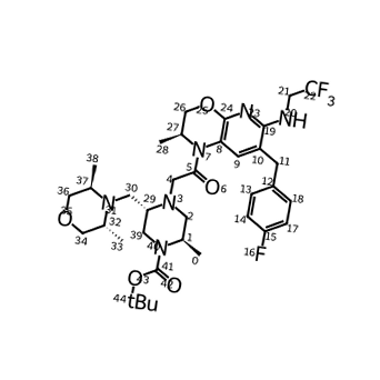 C[C@@H]1CN(CC(=O)N2c3cc(Cc4ccc(F)cc4)c(NCC(F)(F)F)nc3OC[C@@H]2C)[C@@H](CN2[C@H](C)COC[C@H]2C)CN1C(=O)OC(C)(C)C